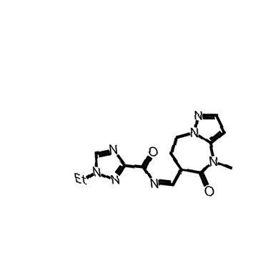 CCn1cnc(C(=O)/N=C\C2CCn3nccc3N(C)C2=O)n1